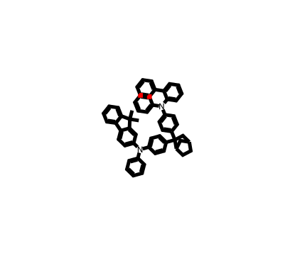 CC1(C)c2ccccc2-c2ccc(N(c3ccccc3)c3ccc(C4(c5ccc(N(c6ccccc6)c6ccccc6-c6ccccc6)cc5)CC5CCC4C5)cc3)cc21